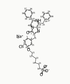 O=c1c(Cc2ccc(Cl)c(OCCCCCCS(=O)(=O)[O-])c2)nc2c(Cc3ccccc3)[nH]c(-c3ccccc3)cn1-2.[Na+]